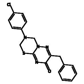 O=c1nc2n(nc1Cc1ccccc1)CN(c1ccc(Cl)cc1)CS2